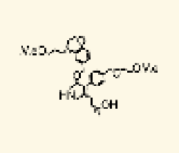 COCCCN1CCOc2ccc(CO[C@H]3CNC[C@@H](CC[C@@H](C)O)[C@@H]3c3ccc(COCCOC)cc3)cc21